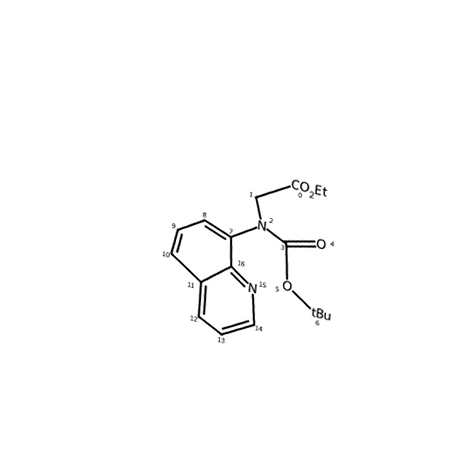 CCOC(=O)CN(C(=O)OC(C)(C)C)c1cccc2cccnc12